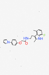 Cc1[nH]c2c(F)ccc(C)c2c1CCNC(=O)COc1ccc(-n2cccc2)cc1